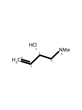 C=CCCNC.Cl